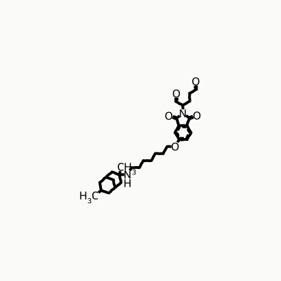 CC1CC2CC(C1)CC(C)(NCCCCCCCOc1ccc3c(c1)C(=O)N(C(C=O)CCC=O)C3=O)C2